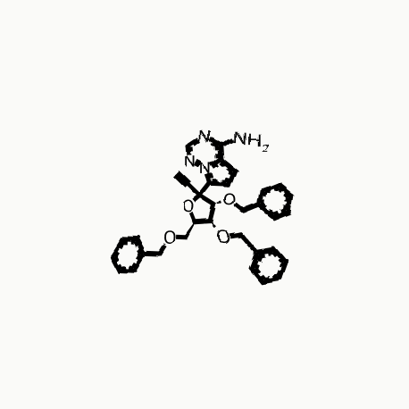 C#CC1(c2ccc3c(N)ncnn23)O[C@H](COCc2ccccc2)[C@@H](OCc2ccccc2)[C@H]1OCc1ccccc1